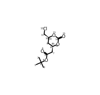 CC(C)(C)OC(=O)C[C@H]1C[C@@H](CCl)OC(=O)O1